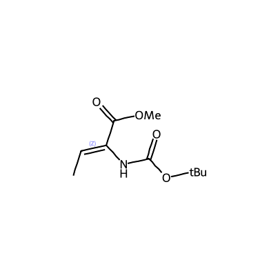 C/C=C(\NC(=O)OC(C)(C)C)C(=O)OC